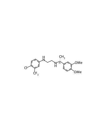 COc1ccc([C@@H](C)NCCNc2ccc(Cl)c(C(F)(F)F)c2)cc1OC